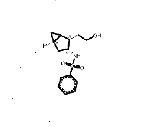 O=S(=O)(N[C@@H]1C[C@H]2CC2[C@@H]1CCO)c1ccccc1